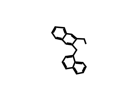 CCc1cc2ccccc2[c]c1Cc1cccc2ccccc12